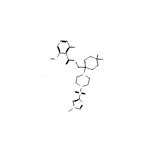 Cl.Cn1cnc(S(=O)(=O)N2CCN(C3(CNC(=O)c4c(F)cccc4OC(F)(F)F)CCC(F)(F)CC3)CC2)c1